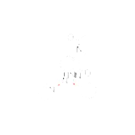 CC(=O)N1CC(C(=O)N[C@@H](CCN2C3CCC2CC(n2c(C)nc4ccccc42)C3)c2ccccc2)C1